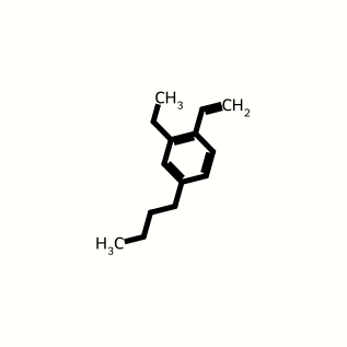 C=Cc1ccc(CCCC)cc1CC